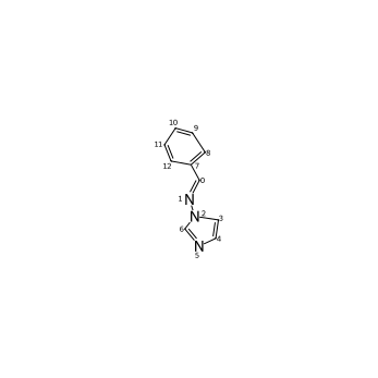 C(=N\n1ccnc1)/c1ccccc1